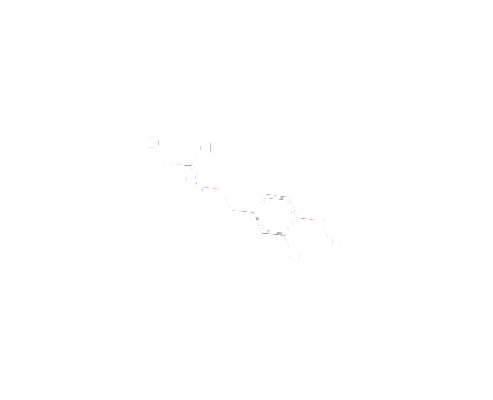 CCO/C(C)=N/OCc1ccc(OC(C)C)c(Cl)c1